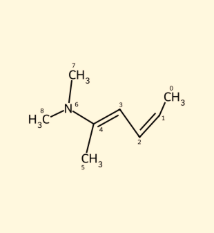 C/C=C\C=C(/C)N(C)C